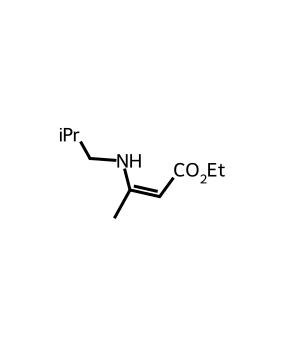 CCOC(=O)C=C(C)NCC(C)C